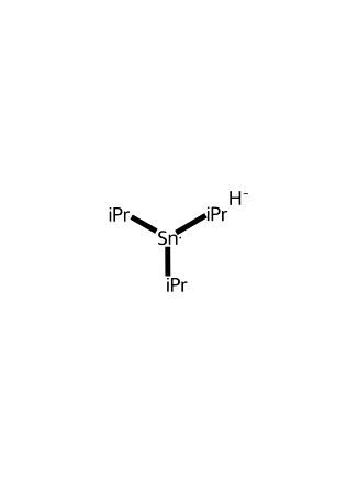 C[CH](C)[Sn]([CH](C)C)[CH](C)C.[H-]